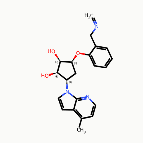 C=NCc1ccccc1O[C@H]1C[C@@H](n2ccc3c(C)ccnc32)[C@@H](O)[C@H]1O